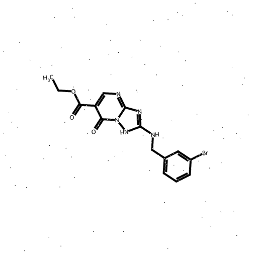 CCOC(=O)c1cnc2nc(NCc3cccc(Br)c3)[nH]n2c1=O